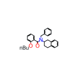 CCCCOc1ccccc1C(=O)N(Cc1ccccc1)C1CCc2ccccc2C1